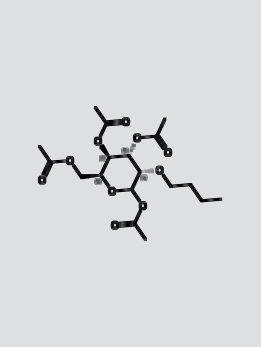 CCCCO[C@@H]1C(OC(C)=O)O[C@@H](COC(C)=O)[C@@H](OC(C)=O)[C@@H]1OC(C)=O